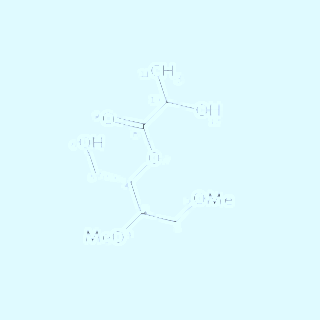 COCC(OC)[C@H](CO)OC(=O)C(C)O